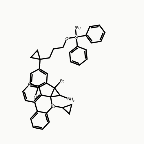 CCC1(c2cc(C3(CCCO[Si](c4ccccc4)(c4ccccc4)C(C)(C)C)CC3)ccc2Cl)C(N)C1(CC)c1cnccc1-c1ccccc1OC1CC1